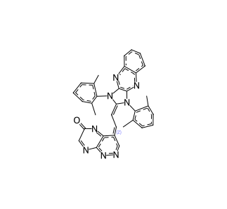 Cc1cccc(C)c1N1C(=C/C=c2/cnnc3c2=NC(=O)C=N3)N(c2c(C)cccc2C)c2nc3ccccc3nc21